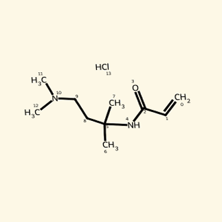 C=CC(=O)NC(C)(C)CCN(C)C.Cl